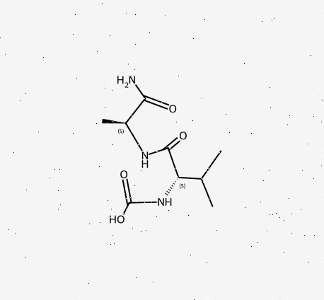 CC(C)[C@H](NC(=O)O)C(=O)N[C@@H](C)C(N)=O